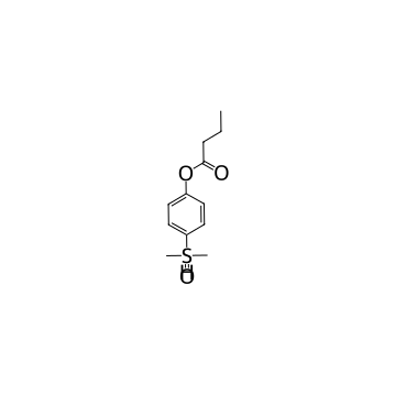 CCCC(=O)Oc1ccc([SH](C)(C)=O)cc1